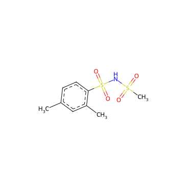 Cc1ccc(S(=O)(=O)NS(C)(=O)=O)c(C)c1